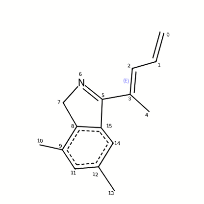 C=C/C=C(\C)C1=NCc2c(C)cc(C)cc21